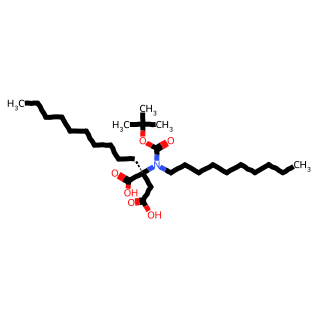 CCCCCCCCCCN(C(=O)OC(C)(C)C)[C@@](CCCCCCCCCC)(CC(=O)O)C(=O)O